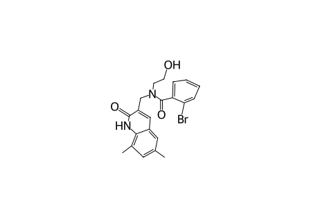 Cc1cc(C)c2[nH]c(=O)c(CN(CCO)C(=O)c3ccccc3Br)cc2c1